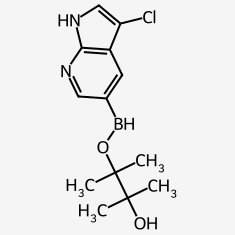 CC(C)(O)C(C)(C)OBc1cnc2[nH]cc(Cl)c2c1